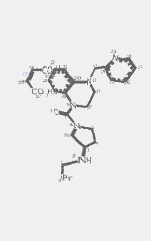 CC(C)CNC1CCN(C(=O)N2CCN(Cc3ccccn3)c3ccccc32)C1.O=C(O)/C=C\C(=O)O